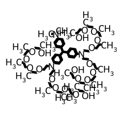 CC(O)COC(C)COC(C)COC(C)COCCN(CCOCC(C)OCC(C)OCC(C)OCC(C)O)c1ccc(C(c2ccc(N(C)C)cc2)c2ccc(N(CCOCC(C)OCC(C)OCC(C)OCC(C)O)CCOCC(C)OCC(C)OCC(C)OCC(C)O)cc2)cc1